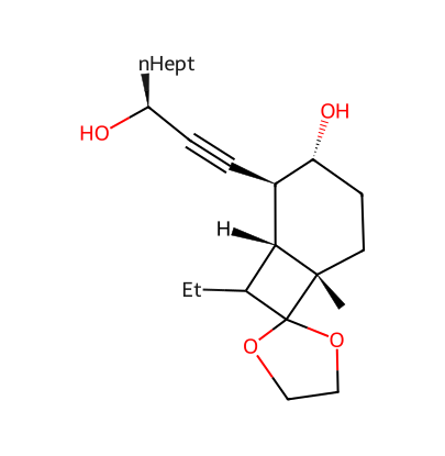 CCCCCCC[C@H](O)C#C[C@H]1[C@H](O)CC[C@@]2(C)[C@@H]1C(CC)C21OCCO1